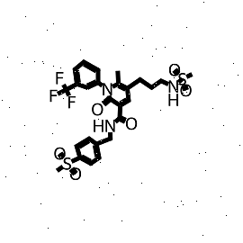 Cc1c(CCCNS(C)(=O)=O)cc(C(=O)NCc2ccc(S(C)(=O)=O)cc2)c(=O)n1-c1cccc(C(F)(F)F)c1